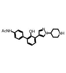 CC(=O)Nc1ccc(-c2cccc(-c3cnn(C4CCNCC4)c3)c2O)cc1